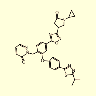 CC(C)c1nnc(-c2ccc(Oc3cc(-c4nc([C@H]5CC(=O)N(C6CC6)C5)no4)ccc3Cn3ncccc3=O)cc2)s1